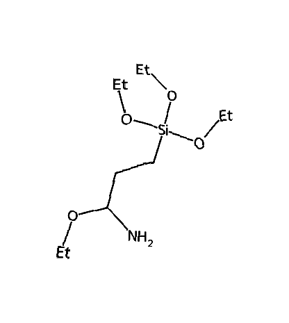 CCOC(N)CC[Si](OCC)(OCC)OCC